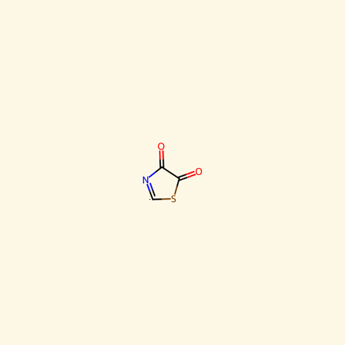 O=C1N=[C]SC1=O